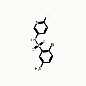 CCc1ccc(N)cc1S(=O)(=O)Nc1ccc(Cl)nc1